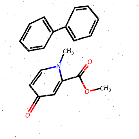 COC(=O)c1cc(=O)ccn1C.c1ccc(-c2ccccc2)cc1